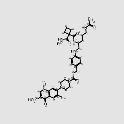 CCNC(=O)C1(C(=O)NC(CCCNC(N)=O)CNc2ccc(COC(=O)N3CCN(c4cc5c(cc4F)c(=O)c(C(=O)O)cn5CC)CC3)cc2)CCC1